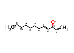 C=CC(=O)C=CCCCCCCC